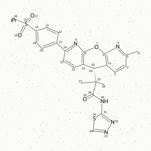 Cc1ccc2c(n1)Oc1nc(-c3ccc(S(=O)(=O)C(C)C)cc3)ccc1[C@H]2C(C)(C)C(=O)Nc1nncs1